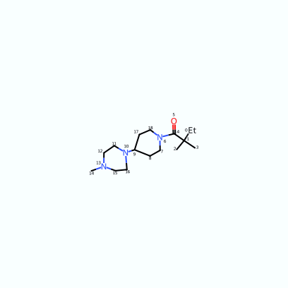 CCC(C)(C)C(=O)N1CCC(N2CCN(C)CC2)CC1